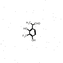 CC(C=O)c1ccc(O)c(C(F)(F)F)c1O